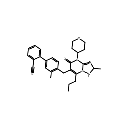 CCCC1=C(Cc2ccc(-c3ccccc3C#N)cc2F)C(=O)N(C2CCOCC2)C2=NC(C)NN21